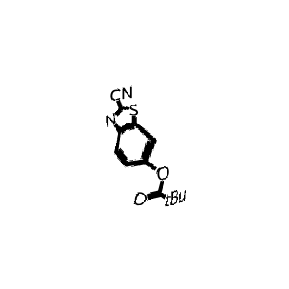 CC(C)(C)C(=O)Oc1ccc2nc(C#N)sc2c1